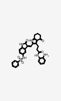 Nc1ccccc1NC(=O)CCc1c(/C=C2\C(=O)Nc3ccc(NS(=O)(=O)c4ccccc4)cc32)[nH]c2c1C(=O)CCC2